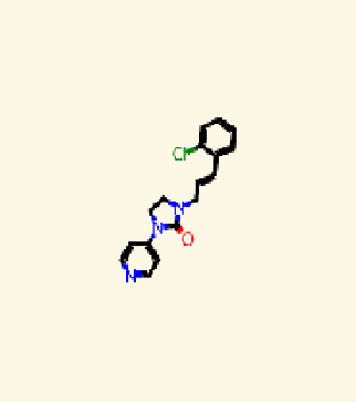 O=C1N(CC=Cc2ccccc2Cl)CCN1c1ccncc1